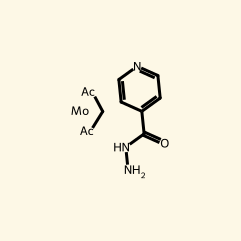 CC(=O)CC(C)=O.NNC(=O)c1ccncc1.[Mo]